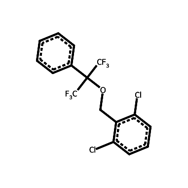 FC(F)(F)C(OCc1c(Cl)cccc1Cl)(c1ccccc1)C(F)(F)F